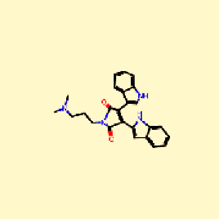 CN(C)CCCN1C(=O)C(c2cc3ccccc3[nH]2)=C(c2c[nH]c3ccccc23)C1=O